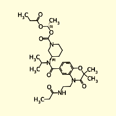 CCC(=O)NCCN1C(=O)C(C)(C)Oc2ccc(C(=O)N(C(C)C)[C@@H]3CCCN(C(=O)O[C@@H](C)OC(=O)CC)C3)cc21